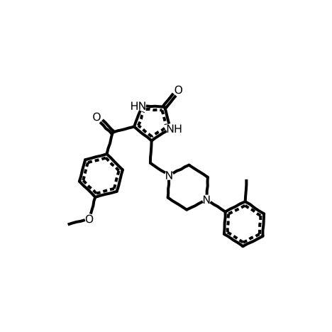 COc1ccc(C(=O)c2[nH]c(=O)[nH]c2CN2CCN(c3ccccc3C)CC2)cc1